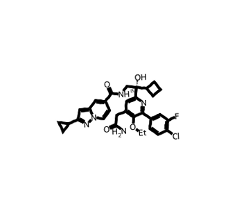 CCOc1c(CC(N)=O)cc([C@@](O)(CNC(=O)c2ccn3nc(C4CC4)cc3c2)C2CCC2)nc1-c1ccc(Cl)c(F)c1